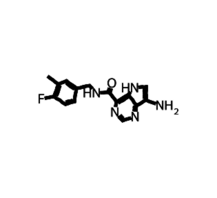 Cc1cc(CNC(=O)c2ncnc3c(N)c[nH]c23)ccc1F